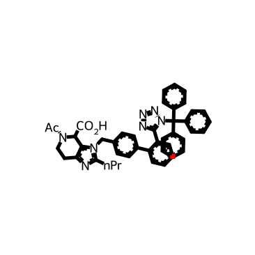 CCCc1nc2c(n1Cc1ccc(-c3ccccc3-c3nnnn3C(c3ccccc3)(c3ccccc3)c3ccccc3)cc1)C(C(=O)O)N(C(C)=O)CC2